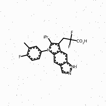 Cc1cc(-n2c(C(C)C)c(CC(F)(F)C(=O)O)c3cc4[nH]ncc4cc32)ccc1F